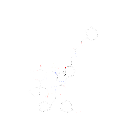 COc1ccc([C@H](c2ccccc2)[C@](O)(NC(=O)[C@H](CCCCNC(=O)OCc2ccccc2)NS(C)(=O)=O)[PH](=O)CC2(C(=O)N[C@@H](Cc3c[nH]c4ccccc34)C(=O)O)CCCC2)cc1